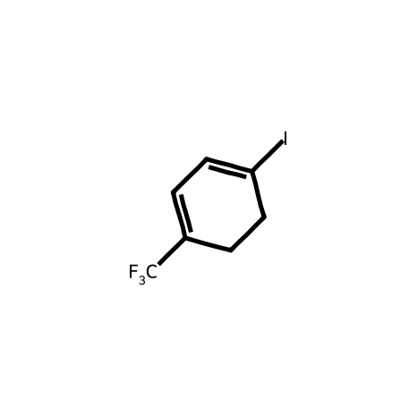 FC(F)(F)C1=CC=C(I)CC1